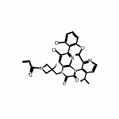 C=CC(=O)N1CC(F)(Cn2c(=O)c(=O)n(-c3c(C(C)C)ccnc3C(C)C)c3nc(-c4c(Cl)cccc4Cl)c(Cl)cc32)C1